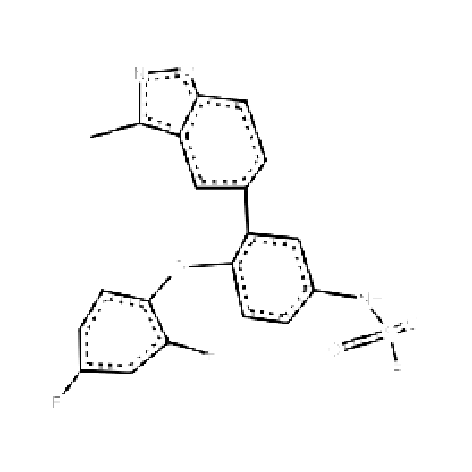 CCS(=O)(=O)Nc1ccc(Oc2ccc(F)cc2F)c(-c2ccc3onc(C)c3c2)c1